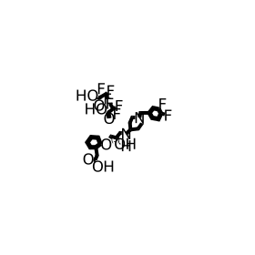 O=C(O)C(F)(F)F.O=C(O)C(F)(F)F.O=C(O)Cc1ccccc1OC[C@@H](O)CNC1CCN(Cc2ccc(F)c(F)c2)CC1